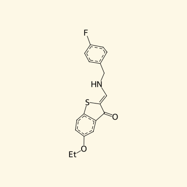 CCOc1ccc2c(c1)C(=O)/C(=C/NCc1ccc(F)cc1)S2